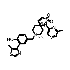 Cc1cncc(N2[C@]3(C=CS2(=O)=O)CCN(Cc2ccc(O)c(-c4ncsc4C)c2)[C@@H](C)C3)n1